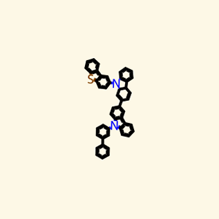 C1=CC2c3ccccc3N(c3ccc4sc5ccccc5c4c3)C2C=C1c1ccc2c(c1)c1ccccc1n2-c1cccc(-c2ccccc2)c1